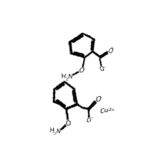 NOc1ccccc1C(=O)[O-].NOc1ccccc1C(=O)[O-].[Cu+2]